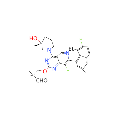 CCc1c(F)ccc2cc(C)cc(-c3ncc4c(N5CCC[C@@](C)(O)C5)nc(OCC5(C=O)CC5)nc4c3F)c12